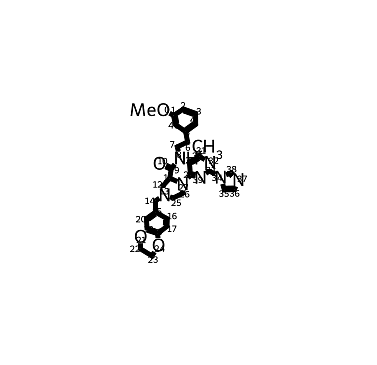 COc1cccc(CCNC(=O)C2CN(Cc3ccc4c(c3)OCCO4)CCN2c2cc(C)nc(-n3ccnc3)n2)c1